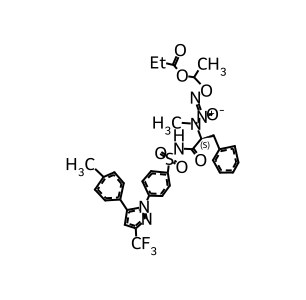 CCC(=O)OC(C)ON=[N+]([O-])N(C)[C@@H](Cc1ccccc1)C(=O)NS(=O)(=O)c1ccc(-n2nc(C(F)(F)F)cc2-c2ccc(C)cc2)cc1